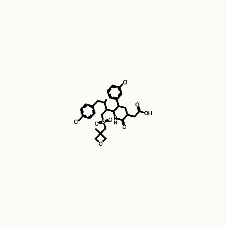 CC(Cc1ccc(Cl)cc1)C(CS(=O)(=O)CC1(C)COC1)C1NC(=O)C(CC(=O)O)CC1c1cccc(Cl)c1